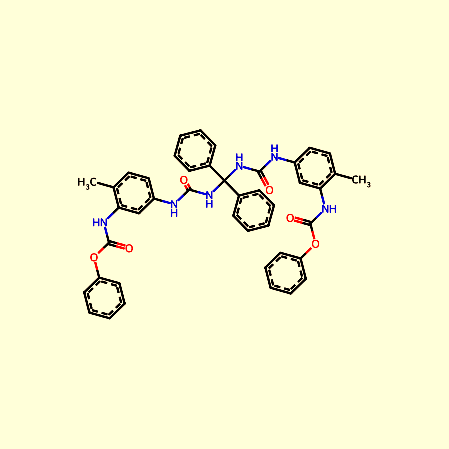 Cc1ccc(NC(=O)NC(NC(=O)Nc2ccc(C)c(NC(=O)Oc3ccccc3)c2)(c2ccccc2)c2ccccc2)cc1NC(=O)Oc1ccccc1